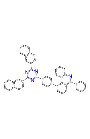 c1ccc(-c2nc3ccccc3c3c(-c4ccc(-c5nc(-c6ccc7ccccc7c6)nc(-c6ccc7ccccc7c6)n5)cc4)cccc23)cc1